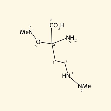 CNNCCC(N)(ONC)C(=O)O